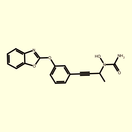 CC(C#Cc1cccc(Oc2nc3ccccc3o2)c1)N(O)C(N)=O